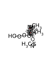 Cc1cc(C(C(=O)N2CCCC2C(N)=O)C(C)C[C@H](c2ccc(-c3scnc3C)cc2)C(O)OCCOCCOCCO)on1